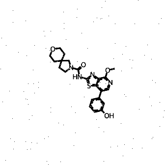 COc1ncc(-c2cccc(O)c2)c2sc(NC(=O)N3CCC4(CCOCC4)C3)nc12